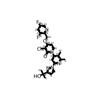 Cc1nc(-n2ccc(C(C)(C)O)n2)cc(-n2ccc(OCc3ncc(F)cc3F)c(Cl)c2=O)c1C